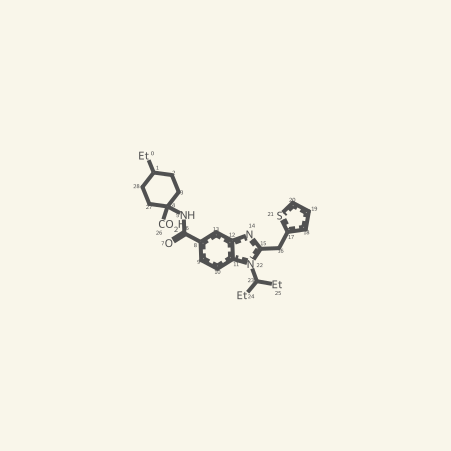 CCC1CCC(NC(=O)c2ccc3c(c2)nc(Cc2cccs2)n3C(CC)CC)(C(=O)O)CC1